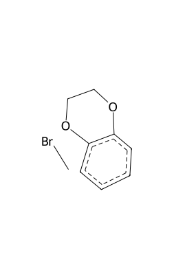 CBr.c1ccc2c(c1)OCCO2